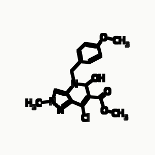 COC(=O)C1=C(Cl)c2nn(C)cc2N(Cc2ccc(OC)cc2)C1O